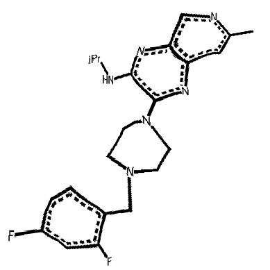 Cc1cc2nc(N3CCN(Cc4ccc(F)cc4F)CC3)c(NC(C)C)nc2cn1